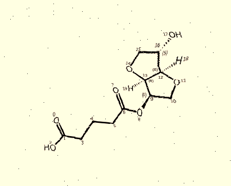 O=C(O)CCCC(=O)O[C@@H]1CO[C@H]2[C@@H]1OC[C@@H]2O